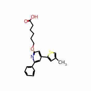 Cc1csc(-c2cc(OCCCCCC(=O)O)nc(-c3ccccc3)c2)c1